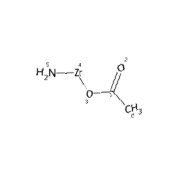 CC(=O)[O][Zr][NH2]